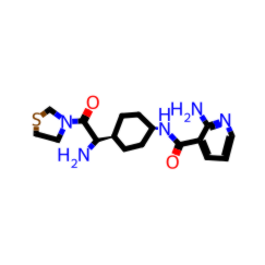 Nc1ncccc1C(=O)N[C@H]1CC[C@H](C(N)C(=O)N2CCSC2)CC1